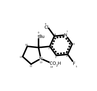 CC(C)(C)C1(c2cc(F)cnc2Cl)CCCN1C(=O)O